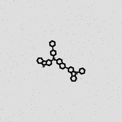 c1ccc(-c2ccc(N(c3ccc4cc(-c5ccc6c(c5)c5ccccc5n6-c5ccccc5)ccc4c3)c3ccc4sc5ccccc5c4c3)cc2)cc1